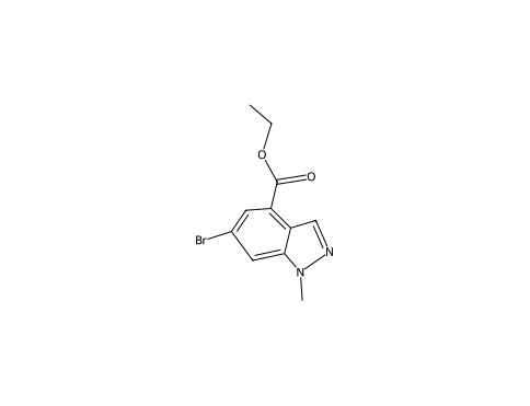 CCOC(=O)c1cc(Br)cc2c1cnn2C